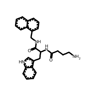 NCCCC(=O)NC(Cc1c[nH]c2ccccc12)C(=O)NCc1cccc2ccccc12